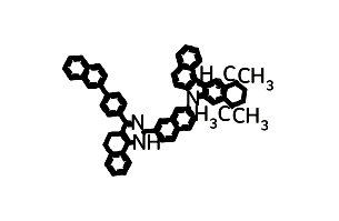 CC1(C)CCC(C)(C)c2cc3c(cc21)c1c2ccccc2ccc1n3-c1ccc2ccc(C3N=C(c4ccc(-c5ccc6ccccc6c5)cc4)C4=C(N3)c3ccccc3CC4)cc2c1